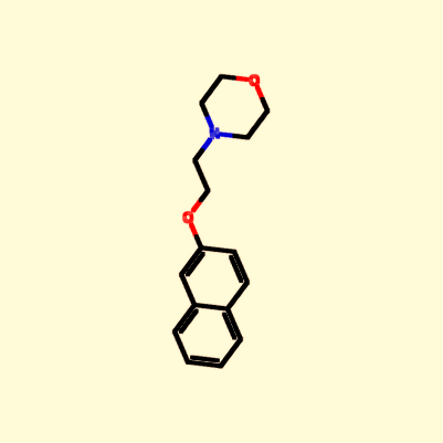 c1ccc2cc(OCCN3CCOCC3)ccc2c1